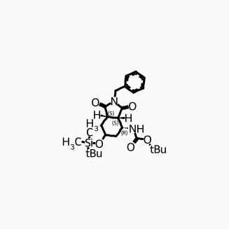 CC(C)(C)OC(=O)N[C@@H]1CC(O[Si](C)(C)C(C)(C)C)C[C@@H]2C(=O)N(Cc3ccccc3)C(=O)[C@@H]21